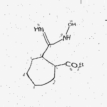 CCOC(=O)C1CCCCC1C(=N)NO